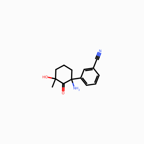 CC1(O)CCCC(N)(c2cccc(C#N)c2)C1=O